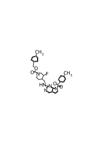 Cc1ccc(COC(=O)N2CCC(CNc3ncc4ccn(S(=O)(=O)c5ccc(C)cc5)c4n3)C(F)C2)cc1